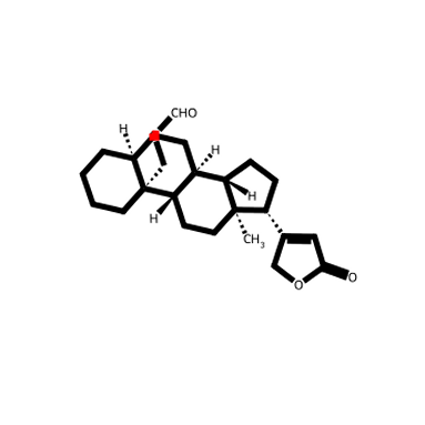 C[C@]12CC[C@H]3[C@@H](CC[C@@H]4CCCC[C@@]43COC=O)[C@@H]1CC[C@@H]2C1=CC(=O)OC1